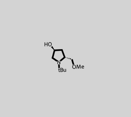 COC[C@H]1C[C@H](O)CN1C(C)(C)C